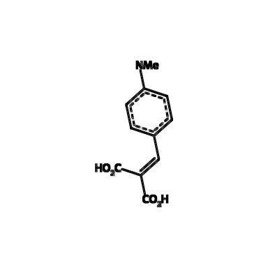 CNc1ccc(C=C(C(=O)O)C(=O)O)cc1